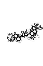 C=C1CCC2C(C)(CO)C(O)CCC2(C)C1CC(C1=CCOC1=O)C1C=C(/C=C/C2CCCC3C(C)(CO)C(O)CCC23C)C(=O)O1